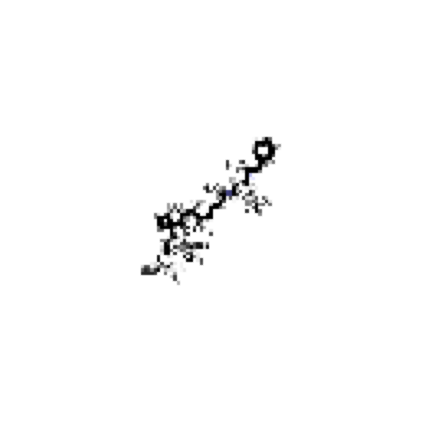 CC[C@H](C(=O)C1([C@H](CCO[Si](C)(C)C(C)(C)C)O[Si](C)(C)C(C)(C)C)CCC1)[C@H](O)[C@@H](C)CCC/C(C)=C/C[C@H](O[Si](C)(C)C(C)(C)C)/C(C)=C/c1ccccn1